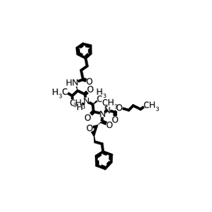 [3H]N(C(=O)[C@@H](NC(=O)CCc1ccccc1)C(C)C)[C@@H](C)C(=O)N(C(=O)[C@H]1O[C@@H]1CCc1ccccc1)N(C)C(=O)OCCCC